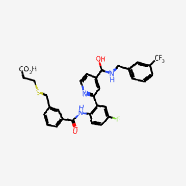 O=C(O)CCSCc1cccc(C(=O)Nc2ccc(F)cc2-c2cc(C(O)NCc3cccc(C(F)(F)F)c3)ccn2)c1